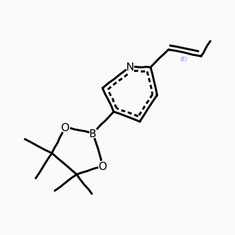 C/C=C/c1ccc(B2OC(C)(C)C(C)(C)O2)cn1